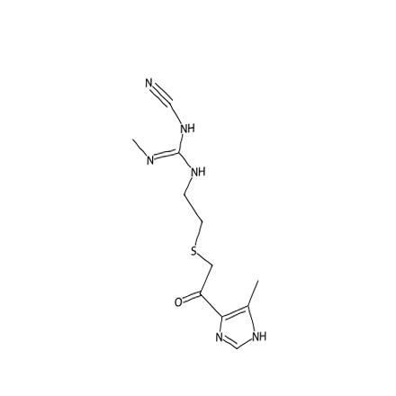 CN=C(NC#N)NCCSCC(=O)c1nc[nH]c1C